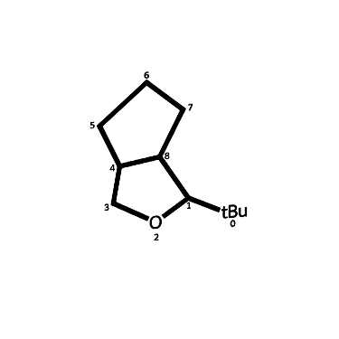 CC(C)(C)C1OCC2CCCC21